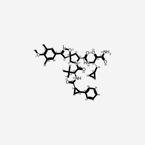 COc1c(C)cc(C2=NO[C@]3(C2)C[C@@H](C(=O)N[C@@H](CC2CC2)C(=O)C(N)=O)N(C(=O)[C@@H](NC(=O)[C@@H]2CC2c2ccccc2)C(C)(C)C)C3)cc1C